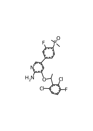 CC(Oc1cc(-c2ccc(P(C)(C)=O)c(F)c2)cnc1N)c1c(Cl)ccc(F)c1Cl